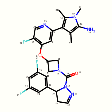 Cc1c(-c2cc(OC3CN(C(=O)N4N=CCC4c4cc(F)cc(F)c4)C3)c(F)cn2)c(C)n(C)c1N